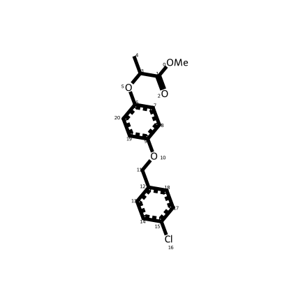 COC(=O)C(C)Oc1ccc(OCc2ccc(Cl)cc2)cc1